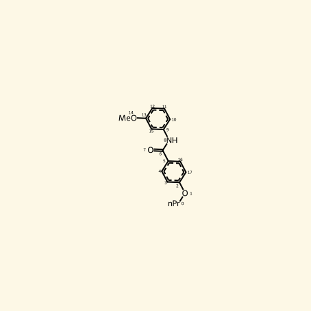 CCCOc1ccc(C(=O)Nc2cccc(OC)c2)cc1